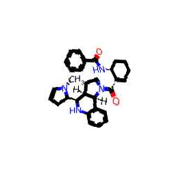 CN1C=CCC1[C@@H]1Nc2ccccc2[C@H]2[C@@H]1CCN2C(=O)[C@H]1CCCC[C@H]1NC(=O)c1ccccc1